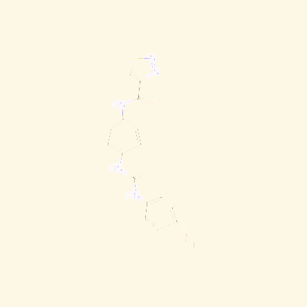 COc1ccc(NC(=S)Nc2ccc(NC(=O)c3csnn3)cc2)cc1Cl